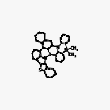 C[Si]1(C)c2ccccc2N2c3cc4ccccc4c4c3B(c3cccc1c32)n1c2c-4cccc2c2sc3ccccc3c21